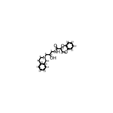 O=C(NCC(O)CN1CCc2ccccc2C1)C1COc2ccccc2O1